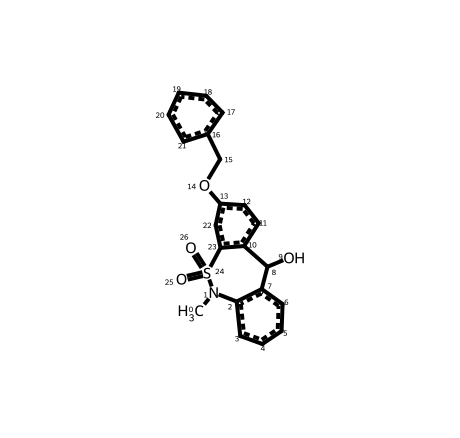 CN1c2ccccc2C(O)c2ccc(OCc3ccccc3)cc2S1(=O)=O